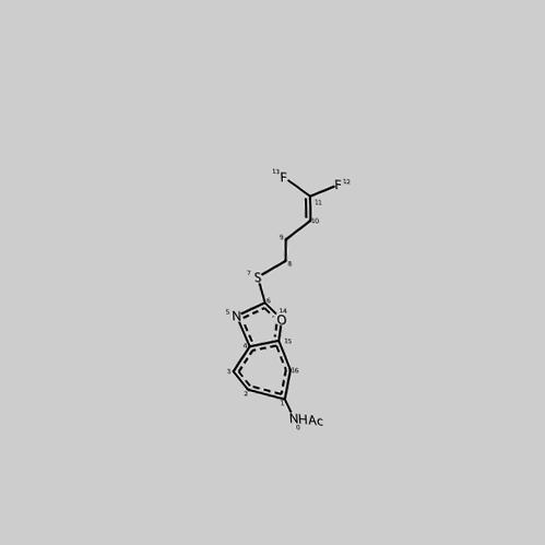 CC(=O)Nc1ccc2nc(SCCC=C(F)F)oc2c1